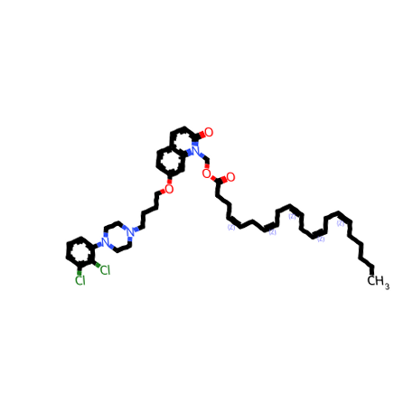 CCCCC/C=C\C/C=C\C/C=C\C/C=C\C/C=C\CCC(=O)OCn1c(=O)ccc2ccc(OCCCCN3CCN(c4cccc(Cl)c4Cl)CC3)cc21